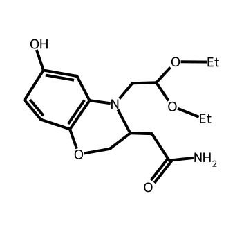 CCOC(CN1c2cc(O)ccc2OCC1CC(N)=O)OCC